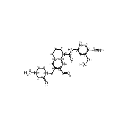 COc1cc(NC(=O)N2CCCc3cc(CN4CCN(C)CC4=O)c(C=O)nc32)ncc1C#N